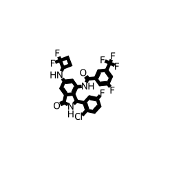 O=C(Nc1cc(NC2CCC2(F)F)cc2c1C(c1cc(F)ccc1Cl)NC2=O)c1cc(F)cc(C(F)(F)F)c1